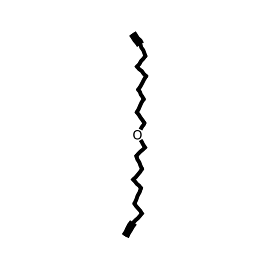 C#CCCCCCCCOCCCCCCCC#C